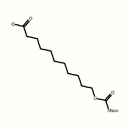 CCCCCCCCCC(=O)OCCCCCCCCCCC([O])=O